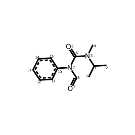 CC(C)N(C)C(=O)N([C]=O)c1ccccc1